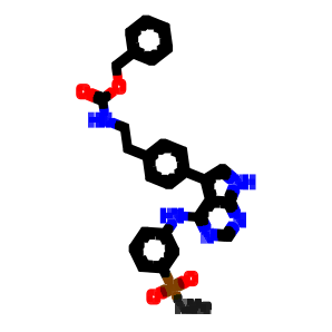 CNS(=O)(=O)c1cccc(Nc2ncnc3[nH]cc(-c4ccc(CCNC(=O)OCc5ccccc5)cc4)c23)c1